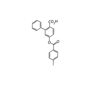 Cc1ccc(C(=O)Oc2ccc(C(=O)O)c(-c3ccccc3)c2)cc1